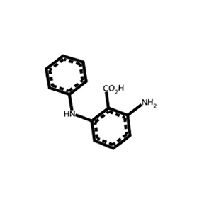 Nc1cccc(Nc2ccccc2)c1C(=O)O